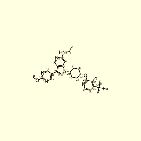 CCNc1cc2c(cn1)c(-c1cnc(OC)nc1)nn2[C@H]1CC[C@@H](Oc2nccc(C(F)(F)F)c2F)CC1